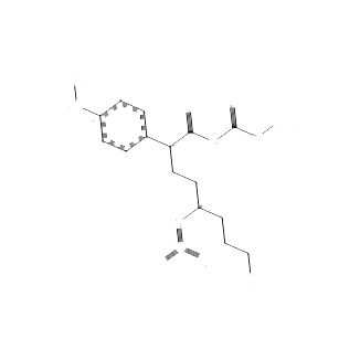 CCCCC(CCC(C(=O)NC(=S)NC)c1ccc(OC)cc1)N=S(=O)=O